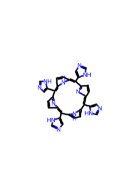 C1=Cc2nc1c(-c1cnc[nH]1)c1ccc([nH]1)c(-c1cnc[nH]1)c1nc(c(-c3cnc[nH]3)c3ccc([nH]3)c2-c2cnc[nH]2)C=C1